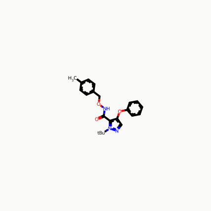 Cc1ccc(CONC(=O)c2c(Oc3ccccc3)cnn2C(C)(C)C)cc1